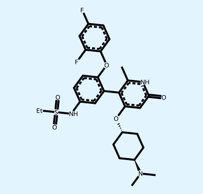 CCS(=O)(=O)Nc1ccc(Oc2ccc(F)cc2F)c(-c2c(O[C@H]3CC[C@H](N(C)C)CC3)cc(=O)[nH]c2C)c1